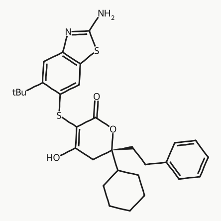 CC(C)(C)c1cc2nc(N)sc2cc1SC1=C(O)C[C@@](CCc2ccccc2)(C2CCCCC2)OC1=O